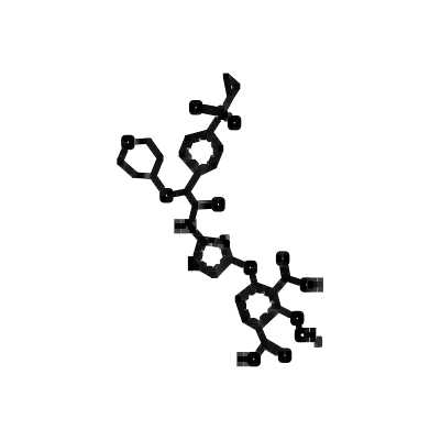 COc1c(C(=O)O)ccc(Oc2cnc(NC(=O)C(OC3CCOCC3)c3ccc(S(=O)(=O)C4CC4)cc3)s2)c1C(=O)O